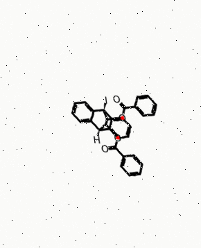 O=C(OC1C(OC(=O)c2ccccc2)[C@]2(I)c3ccccc3[C@H]1c1ccccc12)c1ccccc1